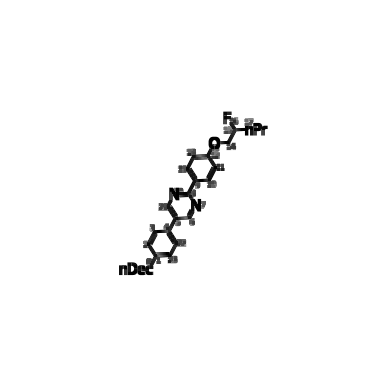 CCCCCCCCCCc1ccc(-c2cnc(-c3ccc(OCC(F)CCC)cc3)nc2)cc1